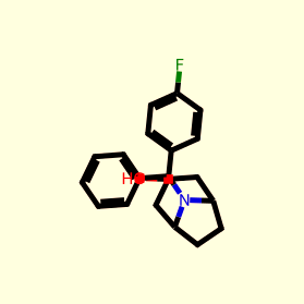 OC1(c2ccc(F)cc2)CC2CCC(C1)N2Cc1ccccc1